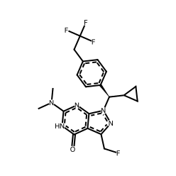 CN(C)c1nc2c(c(CF)nn2[C@@H](c2ccc(CC(F)(F)F)cc2)C2CC2)c(=O)[nH]1